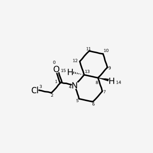 O=C(CCl)N1CCC[C@H]2CCCC[C@@H]21